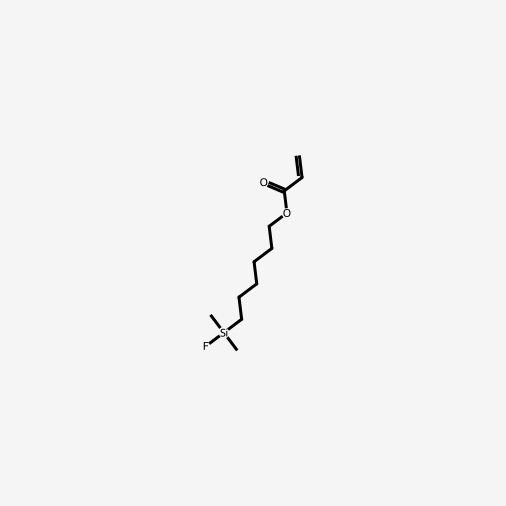 C=CC(=O)OCCCCCC[Si](C)(C)F